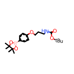 CC(C)(C)OC(=O)NCCCOc1ccc(B2OC(C)(C)C(C)(C)O2)cc1